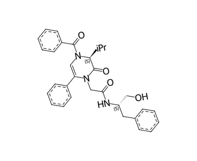 CC(C)[C@H]1C(=O)N(CC(=O)N[C@H](CO)Cc2ccccc2)C(c2ccccc2)=CN1C(=O)c1ccccc1